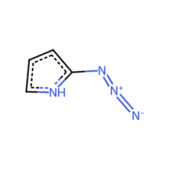 [N-]=[N+]=Nc1ccc[nH]1